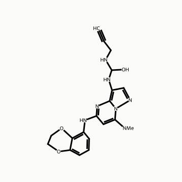 C#CCNC(O)Nc1cnn2c(NC)cc(Nc3cccc4c3OCCO4)nc12